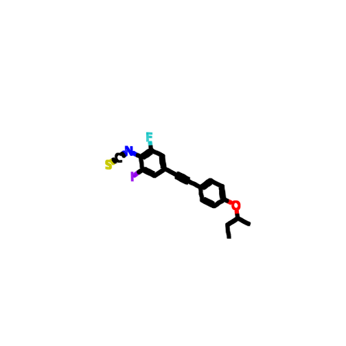 CCC(C)Oc1ccc(C#Cc2cc(F)c(N=C=S)c(I)c2)cc1